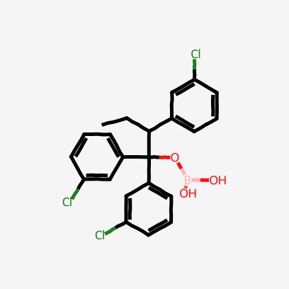 CCC(c1cccc(Cl)c1)C(OB(O)O)(c1cccc(Cl)c1)c1cccc(Cl)c1